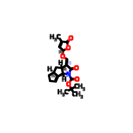 CC1=C[C@H](O/C=C2/C(=O)N(C(=O)OC(C)(C)C)[C@@H]3C4=CCC[C@H]4C[C@H]23)OC1=O